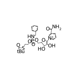 CC(C)(C)C(=O)SCCOP(=O)(NCc1ccccc1)OCC1OC([n+]2cccc(C(N)=O)c2)=C(O)C1O